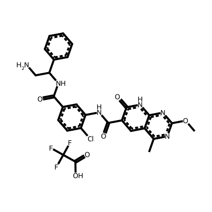 COc1nc(C)c2cc(C(=O)Nc3cc(C(=O)NC(CN)c4ccccc4)ccc3Cl)c(=O)[nH]c2n1.O=C(O)C(F)(F)F